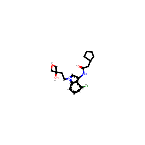 O=C(CC1CCCC1)Nc1cn(CCC2(O)COC2)c2cccc(Cl)c12